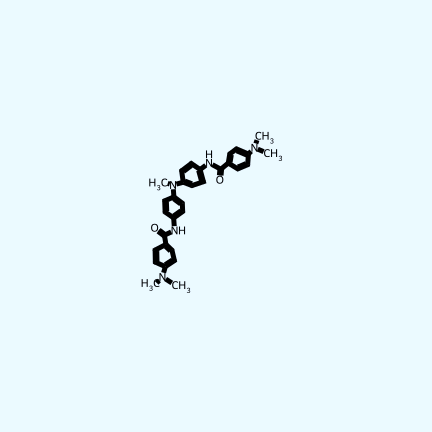 CN(C)c1ccc(C(=O)Nc2ccc(N(C)c3ccc(NC(=O)c4ccc(N(C)C)cc4)cc3)cc2)cc1